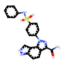 NC(=O)c1nn(-c2ccc(S(=O)(=O)Nc3ccccc3)cc2)c2c1ccc1[nH]ncc12